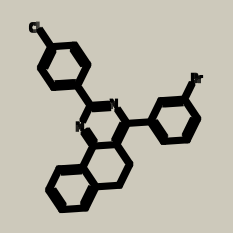 Clc1ccc(-c2nc(-c3cccc(Br)c3)c3c(n2)-c2ccccc2CC3)cc1